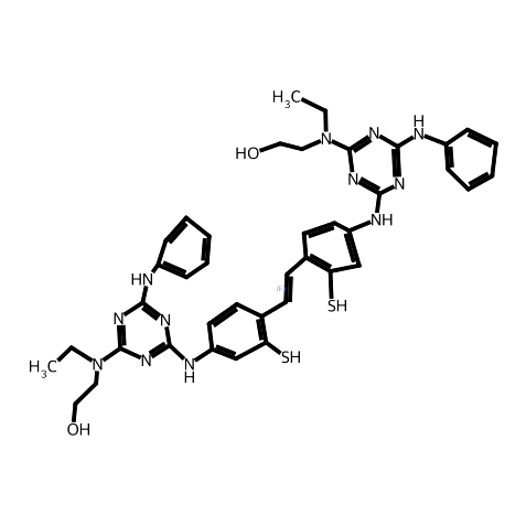 CCN(CCO)c1nc(Nc2ccccc2)nc(Nc2ccc(/C=C/c3ccc(Nc4nc(Nc5ccccc5)nc(N(CC)CCO)n4)cc3S)c(S)c2)n1